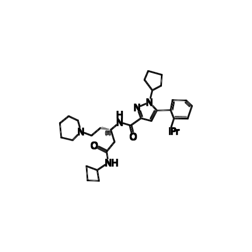 CC(C)c1ccccc1-c1cc(C(=O)N[C@@H](CCN2CCCCC2)CC(=O)NC2CCC2)nn1C1CCCC1